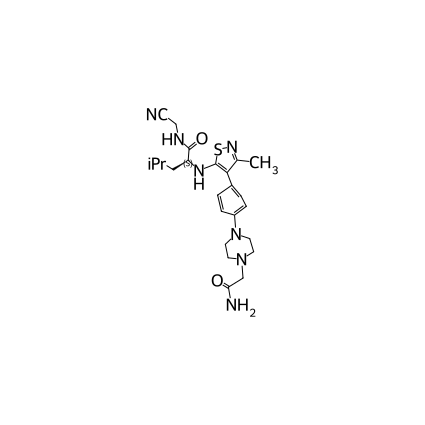 Cc1nsc(N[C@@H](CC(C)C)C(=O)NCC#N)c1-c1ccc(N2CCN(CC(N)=O)CC2)cc1